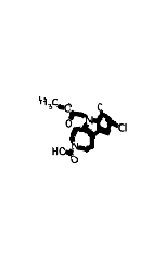 CCOC(=O)Cn1c2c(c3cc(Cl)cc(Cl)c31)CCN(C(=O)O)CC2